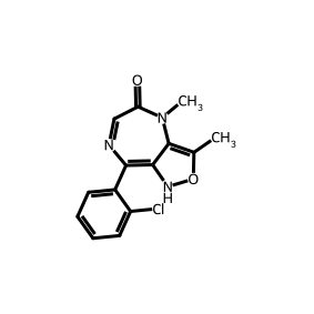 CC1=C2C(=C(c3ccccc3Cl)N=CC(=O)N2C)NO1